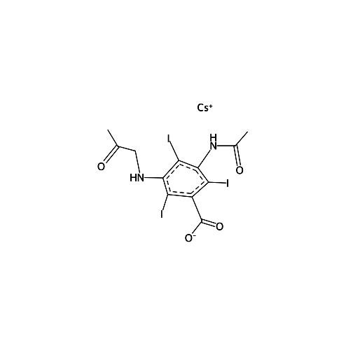 CC(=O)CNc1c(I)c(NC(C)=O)c(I)c(C(=O)[O-])c1I.[Cs+]